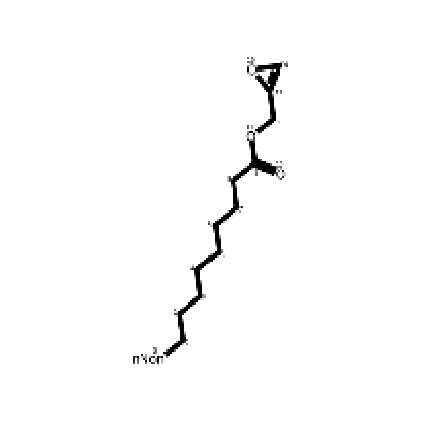 CCCCCCCCCCCCCCCCCC(=O)OCC1=CO1